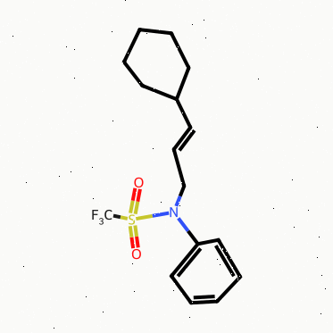 O=S(=O)(N(C/C=C/C1CCCCC1)c1ccccc1)C(F)(F)F